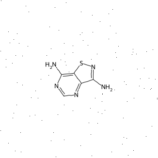 Nc1nsc2c(N)ncnc12